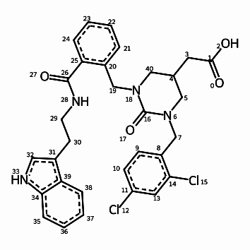 O=C(O)CC1CN(Cc2ccc(Cl)cc2Cl)C(=O)N(Cc2ccccc2C(=O)NCCc2c[nH]c3ccccc23)C1